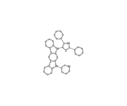 c1ccc(-c2nc(-c3ccccc3)c(-n3c4ccccc4c4cc5c6ccccc6n(-c6cccnc6)c5cc43)s2)cc1